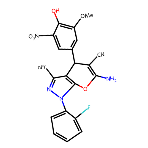 CCCc1nn(-c2ccccc2F)c2c1C(c1cc(OC)c(O)c([N+](=O)[O-])c1)C(C#N)=C(N)O2